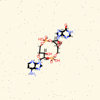 Nc1ccnc2c1ncn2C1OC2COP(=O)(O)O[C@H]3C(n4cnc5c(=O)[nH]cnc54)OC(COP(=O)(O)O[C@@H]1[C@@H]2O)[C@H]3O